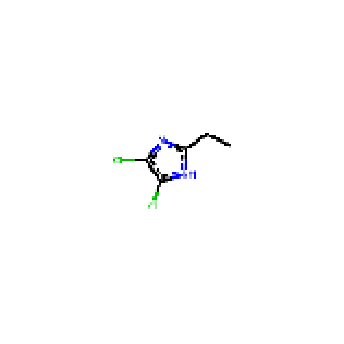 CCc1nc(Cl)c(Cl)[nH]1